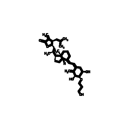 C=C1/C(=C\C=C2/CCC[C@]3(C)[C@@H]([C@H](C)C[C@@H]4OC(=O)C(=C)[C@H]4CC(C)C)CC[C@@H]23)C[C@@H](O)[C@H](OCCCO)[C@@H]1O